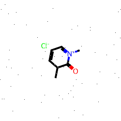 CC1C=CC=[N+](C)C1=O.[Cl-]